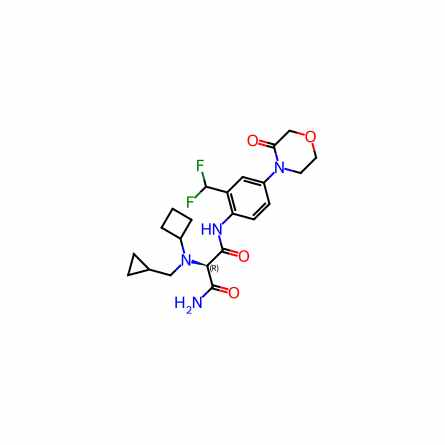 NC(=O)[C@H](C(=O)Nc1ccc(N2CCOCC2=O)cc1C(F)F)N(CC1CC1)C1CCC1